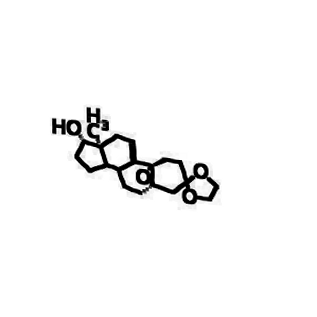 C[C@]12CC=C3C(CC[C@@]45CC6(CC[C@@]34O5)OCCO6)C1CC[C@@H]2O